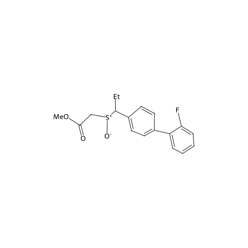 CCC(c1ccc(-c2ccccc2F)cc1)[S+]([O-])CC(=O)OC